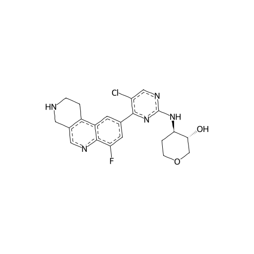 O[C@@H]1COCC[C@H]1Nc1ncc(Cl)c(-c2cc(F)c3ncc4c(c3c2)CCNC4)n1